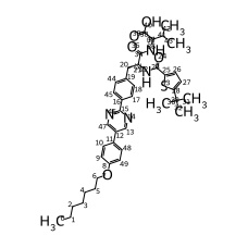 CCCCCCCOc1ccc(-c2cnc(-c3ccc(C[C@H](NC(=O)c4ccc(C(C)(C)C)s4)C(=O)N[C@@H](C(=O)O)C(C)C)cc3)nc2)cc1